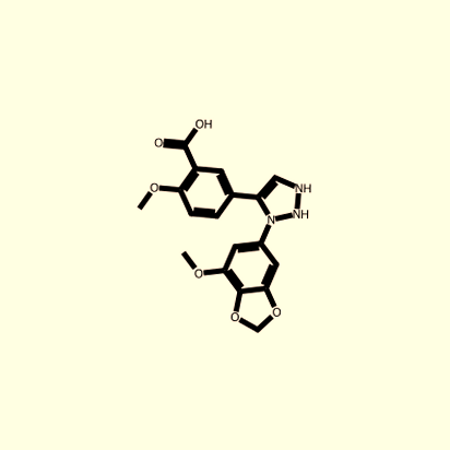 COc1ccc(C2=CNNN2c2cc(OC)c3c(c2)OCO3)cc1C(=O)O